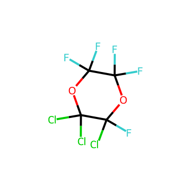 FC1(F)OC(F)(Cl)C(Cl)(Cl)OC1(F)F